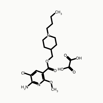 CCCCN1CCC(COC(=O)c2cc(Cl)c(N)nc2OC)CC1.O=C(O)C(=O)O